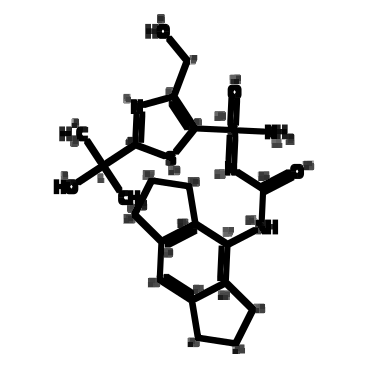 CC(C)(O)c1nc(CO)c(S(N)(=O)=NC(=O)Nc2c3c(cc4c2CCC4)CCC3)s1